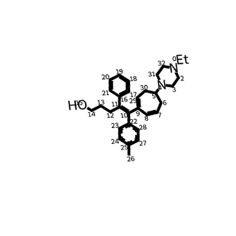 CCN1CCN(C2CC=CC(/C(=C(/CCCO)C3=C=C=CC=C3)c3ccc(C)cc3)=CC2)CC1